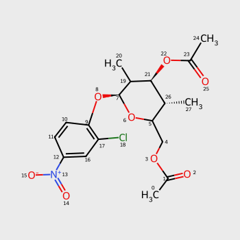 CC(=O)OCC1O[C@@H](Oc2ccc([N+](=O)[O-])cc2Cl)C(C)[C@@H](OC(C)=O)[C@@H]1C